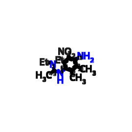 CCN(CC)C(C)Nc1cc([N+](=O)[O-])c(N)c(C)c1C